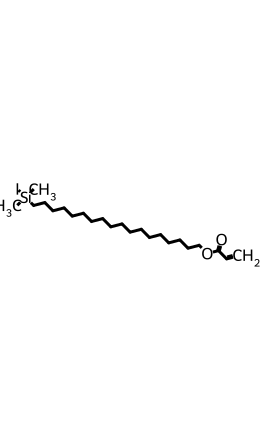 C=CC(=O)OCCCCCCCCCCCCCCCCCC[Si](C)(C)I